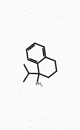 CC(C)C1(P)CCCc2ccccc21